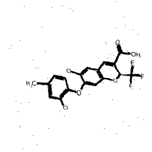 Cc1ccc(Oc2cc3c(cc2Cl)C=C(C(=O)O)[C@@H](C(F)(F)F)O3)c(Cl)c1